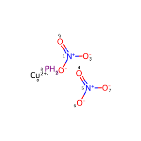 O=[N+]([O-])[O-].O=[N+]([O-])[O-].P.[Cu+2]